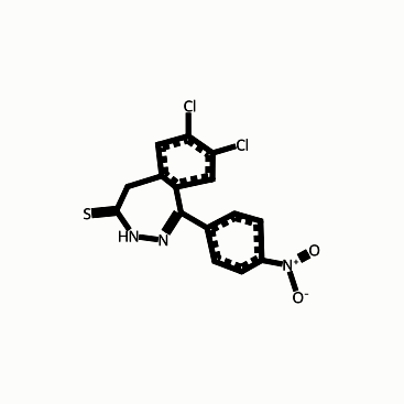 O=[N+]([O-])c1ccc(C2=NNC(=S)Cc3cc(Cl)c(Cl)cc32)cc1